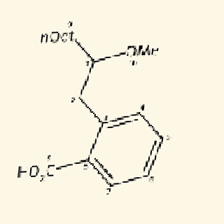 CCCCCCCCC(Cc1ccccc1C(=O)O)OC